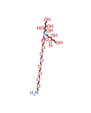 NCCOCCOCCOCCOCCOCCOCCOCCOCCN(CC(O)C(O)C(O)CCO)CC(O)C(O)C(O)CCO